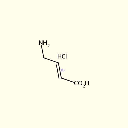 Cl.NC/C=C/C(=O)O